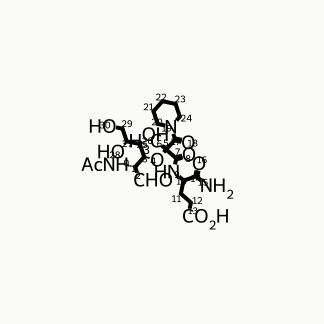 CC(=O)N[C@@H](C=O)[C@@H](OC(C)(C(=O)NC(CCC(=O)O)C(N)=O)C(=O)N1CCCCC1)[C@H](O)[C@H](O)CO